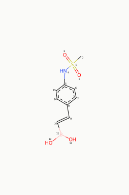 CS(=O)(=O)Nc1ccc(C=CB(O)O)cc1